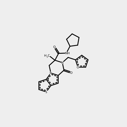 CC1(C(=O)NC2CCCC2)Cn2c(cc3sccc32)C(=O)N1Cc1ccco1